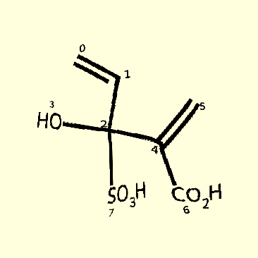 C=CC(O)(C(=C)C(=O)O)S(=O)(=O)O